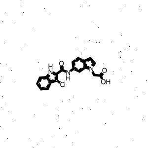 O=C(O)Cn1ccc2ccc(NC(=O)c3[nH]c4ccccc4c3Cl)cc21